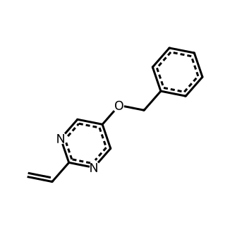 C=Cc1ncc(OCc2ccccc2)cn1